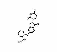 CCCN[C@@H]1CCCC[C@H]1Oc1ccc2c(c1)CN(C1CCC(=O)NC1=O)C2=O